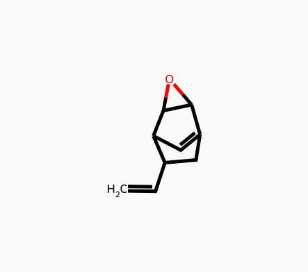 C=CC1CC2=CC1C1OC21